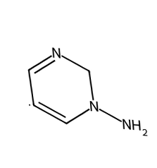 NN1C=[C]C=NC1